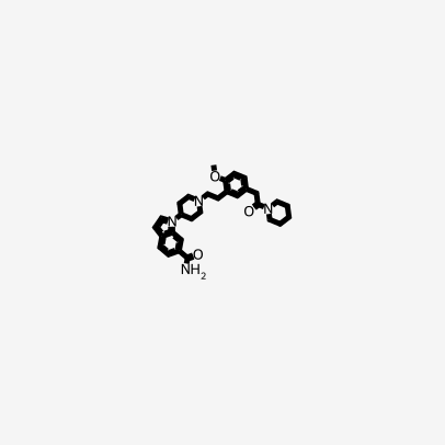 COc1ccc(CC(=O)N2CCCCC2)cc1CCN1CCC(n2ccc3ccc(C(N)=O)cc32)CC1